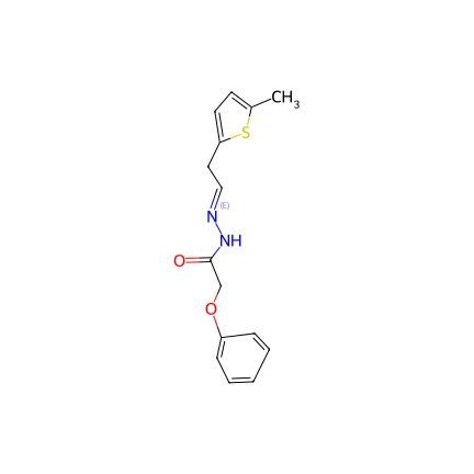 Cc1ccc(C/C=N/NC(=O)COc2ccccc2)s1